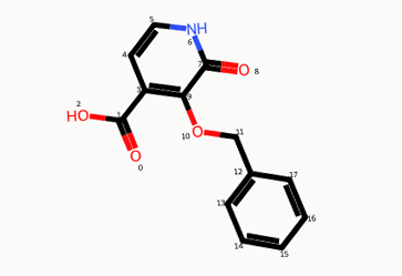 O=C(O)c1cc[nH]c(=O)c1OCc1ccccc1